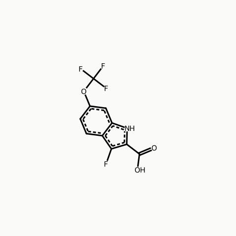 O=C(O)c1[nH]c2cc(OC(F)(F)F)ccc2c1F